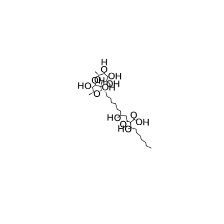 CCCCCCCC(O)C(C(=O)O)C(=O)CC(O)CCCCCCC[C@@H]1O[C@@H](C)[C@H](O)[C@@H](O)[C@]1(O)[C@@H]1O[C@@H](C)[C@H](O)[C@@H](O)[C@H]1O